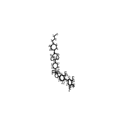 CCCCC1CCC(C2COC(C3CCC(C(F)(F)Oc4ccc(-c5cc(F)c(F)c(F)c5)c(F)c4)CC3)OC2)CC1